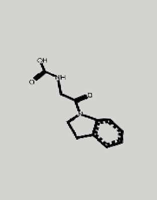 O=C(O)NCC(=O)N1CCc2ccccc21